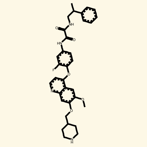 COc1cc2c(Oc3ccc(NC(=O)C(=O)NCC(C)c4ccccc4)cc3F)ccnc2cc1OCC1CCNCC1